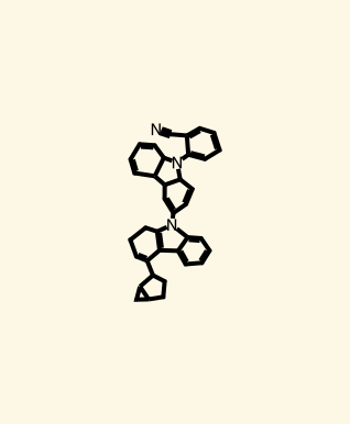 N#Cc1ccccc1N1C2C=CC=CC2C2C=C(n3c4c(c5ccccc53)C(C3CCC5CC53)=CCC4)C=CC21